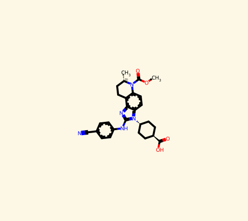 COC(=O)N1c2ccc3c(nc(Nc4ccc(C#N)cc4)n3[C@H]3CC[C@H](C(=O)O)CC3)c2CC[C@@H]1C